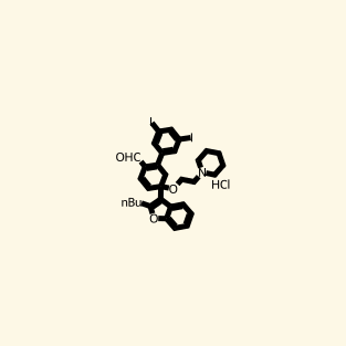 CCCCc1oc2ccccc2c1C1(OCCN2CCCCC2)C=CC(C=O)=C(c2cc(I)cc(I)c2)C1.Cl